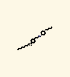 CCCCCCCCOc1ccc(CC/C=C/[C@H]2CC[C@H](CCCCC)CC2)cc1